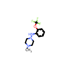 CN1CCN(Nc2ccccc2OC(F)(F)F)CC1